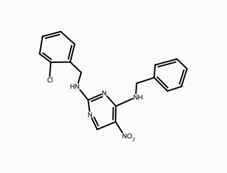 O=[N+]([O-])c1cnc(NCc2ccccc2Cl)nc1NCc1c[c]ccc1